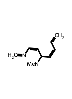 C=C/C=C\C(/C=C\N=C)NC